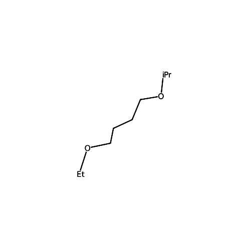 [CH2]COCCCCOC(C)C